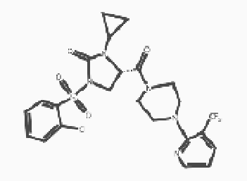 O=C([C@@H]1CN(S(=O)(=O)c2ccccc2Cl)C(=O)N1C1CC1)N1CCN(c2ncccc2C(F)(F)F)CC1